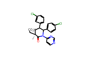 C[C@]1(CC(=O)O)CC(c2cccc(Cl)c2)C(c2ccc(Cl)cc2)N(c2ccncn2)C1=O